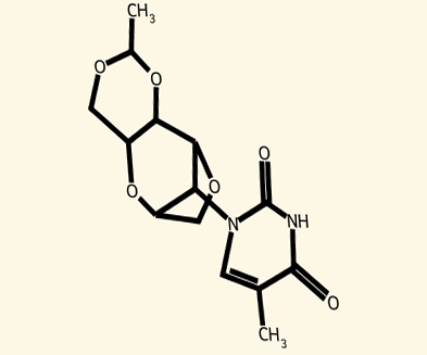 Cc1cn(C2C3COC2C2OC(C)OCC2O3)c(=O)[nH]c1=O